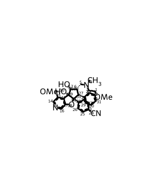 COCCN(C)C[C@H]1[C@@H](O)[C@@]2(O)c3c(OC)cncc3O[C@@]2(c2ccc(C#N)cc2)[C@@H]1c1ccccc1